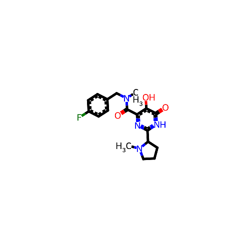 CN(Cc1ccc(F)cc1)C(=O)c1nc(C2CCCN2C)[nH]c(=O)c1O